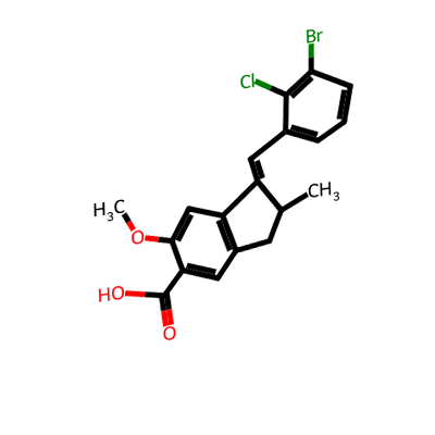 COc1cc2c(cc1C(=O)O)CC(C)C2=Cc1cccc(Br)c1Cl